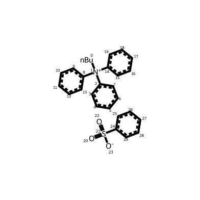 CCCC[N+](c1ccccc1)(c1ccccc1)c1ccccc1.O=S(=O)([O-])c1ccccc1